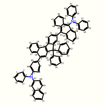 c1ccc(N(c2ccc(-c3cc4c(c5ccccc35)-c3ccc(-c5c6ccccc6c(N(c6ccccc6)c6ccccc6)c6ccccc56)cc3C4(c3ccccc3)c3ccccc3)cc2)c2ccc3ccccc3c2)cc1